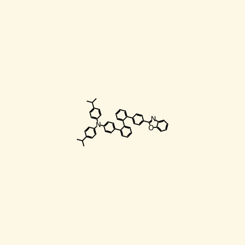 CC(C)c1ccc(N(c2ccc(-c3ccccc3-c3ccccc3-c3ccc(-c4nc5ccccc5o4)cc3)cc2)c2ccc(C(C)C)cc2)cc1